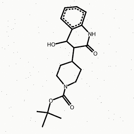 CC(C)(C)OC(=O)N1CCC(C2C(=O)Nc3ccccc3C2O)CC1